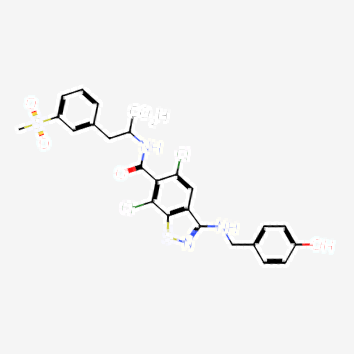 CS(=O)(=O)c1cccc(CC(NC(=O)c2c(Cl)cc3c(NCc4ccc(O)cc4)nsc3c2Cl)C(=O)O)c1